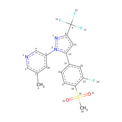 Cc1cncc(-n2nc(C(F)(F)F)cc2-c2ccc(S(C)(=O)=O)c(F)c2)c1